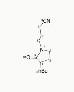 CCCCC1CCN(CCCC#N)C1=O